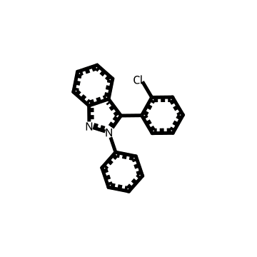 Clc1ccccc1-c1c2ccccc2nn1-c1ccccc1